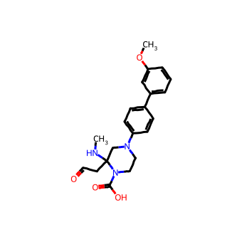 CNC1(CC=O)CN(c2ccc(-c3cccc(OC)c3)cc2)CCN1C(=O)O